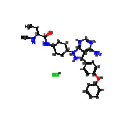 CCC(NC)C(=O)NC1CCC(n2nc(-c3ccc(Oc4ccccc4)cc3)c3c(N)ncnc32)CC1.Cl